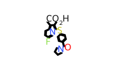 Cc1c(CC(=O)O)c2ccc(F)cn2c1Sc1ccc(C(=O)N2CCCC2)cc1